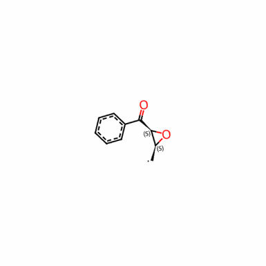 [CH2][C@@H]1O[C@@H]1C(=O)c1ccccc1